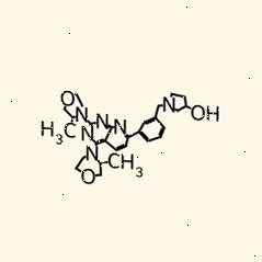 C[C@H]1COCCN1c1nc(N2CCOC[C@@H]2C)c2ccc(-c3cccc(CN4CCC(O)C4)c3)nc2n1